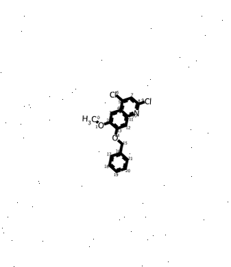 COc1cc2c(Cl)cc(Cl)nc2cc1OCc1ccccc1